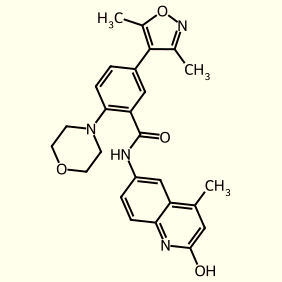 Cc1noc(C)c1-c1ccc(N2CCOCC2)c(C(=O)Nc2ccc3nc(O)cc(C)c3c2)c1